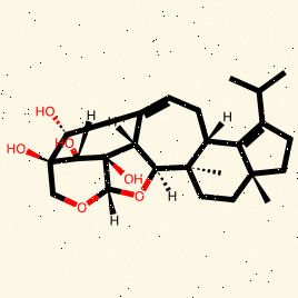 CC(C)C1=C2[C@H]3CC=C4[C@@H](O)[C@@]5(O)CO[C@H]6O[C@@H]([C@@H]4[C@@]6(O)[C@H]5O)[C@]3(C)CC[C@@]2(C)CC1